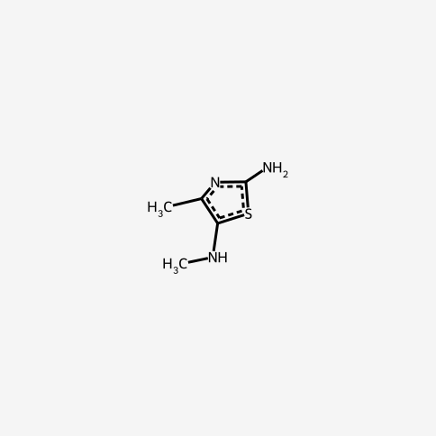 CNc1sc(N)nc1C